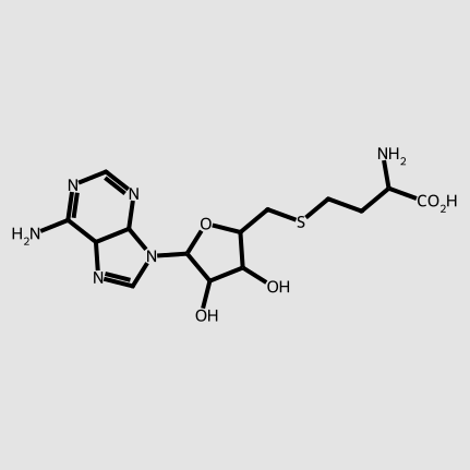 NC1=NC=NC2C1N=CN2C1OC(CSCCC(N)C(=O)O)C(O)C1O